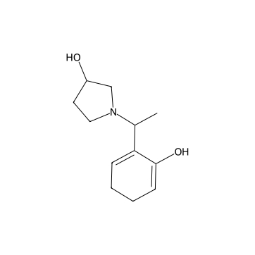 CC(C1=CCCC=C1O)N1CCC(O)C1